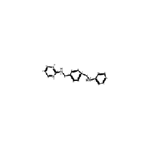 c1ccc(NCc2ccc(CNc3ncccn3)cc2)cc1